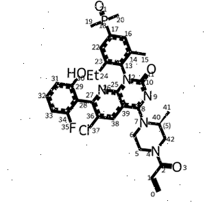 C=CC(=O)N1CCN(c2nc(=O)n(-c3c(C)cc(P(C)(C)=O)cc3CC)c3nc(-c4c(O)cccc4F)c(Cl)cc23)[C@@H](C)C1